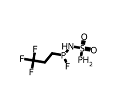 O=S(=O)(P)NP(F)CCC(F)(F)F